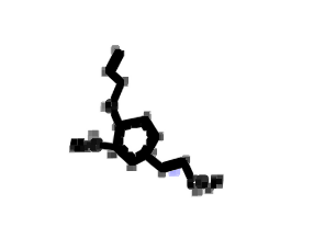 C=CCOc1ccc(/C=C/C(=O)O)cc1OC